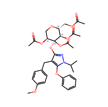 COc1ccc(Cc2c(O[C@]3(OC(C)=O)[C@@H](OC(C)=O)CO[C@H](COC(C)=O)[C@H]3OC(C)=O)nn(C(C)C)c2Oc2ccccc2)cc1